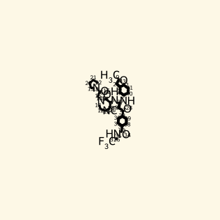 Cc1cc2cc(NC(N[C@H]3CCCCN(CC(=O)N4CCCC4)C3=O)=C(C#N)C(=O)c3ccc(C(=O)NCC(F)(F)F)cc3)ccc2o1